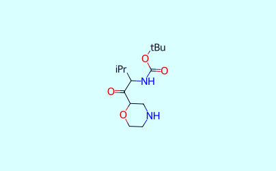 CC(C)C(NC(=O)OC(C)(C)C)C(=O)C1CNCCO1